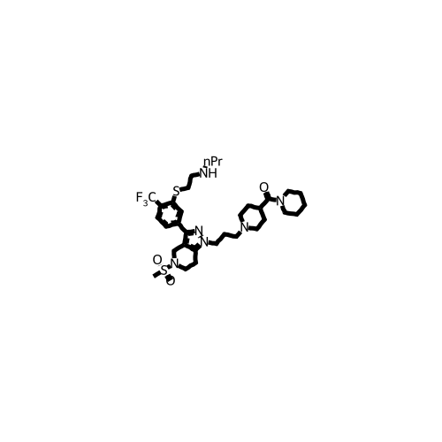 CCCNCCSc1cc(-c2nn(CCCN3CCC(C(=O)N4CCCCC4)CC3)c3c2CN(S(C)(=O)=O)CC3)ccc1C(F)(F)F